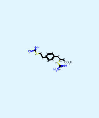 N=C(N)SCCc1ccc(C[C@@H](CC(=O)O)SC(=N)N)cc1